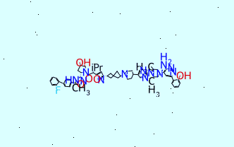 CC(C)[C@@H](C(=O)N1C[C@H](O)C[C@H]1C1=NO[C@@](C)(c2ccc(-c3ccccc3F)cc2)N1)c1cc([C@H]2CC3(C2)C[C@H](N2CCC(c4cnc(N5C(C)CN(c6cc(-c7ccccc7O)nnc6N)CC5C)nc4)CC2)C3)no1